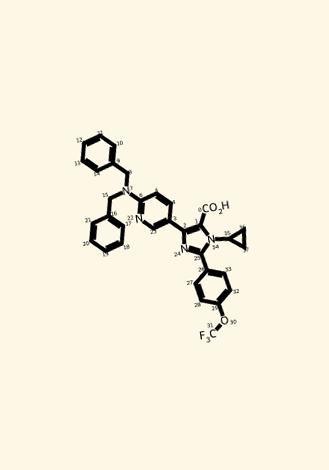 O=C(O)c1c(-c2ccc(N(Cc3ccccc3)Cc3ccccc3)nc2)nc(-c2ccc(OC(F)(F)F)cc2)n1C1CC1